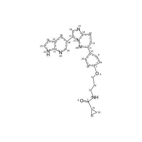 O=C(NCCCOc1ccc(-c2ccc3ncc(-c4cnc5[nH]ccc5c4)n3n2)cc1)C1CC1